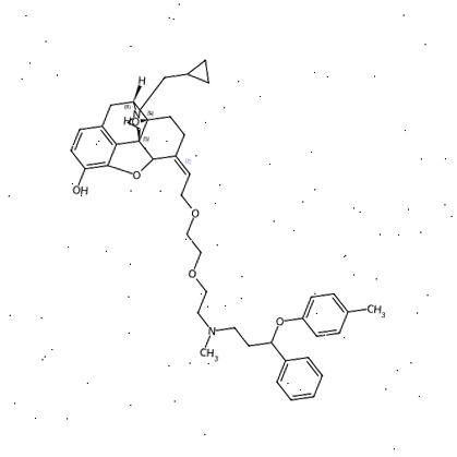 Cc1ccc(OC(CCN(C)CCOCCOC/C=C2/CC[C@@]3(O)[C@H]4Cc5ccc(O)c6c5[C@@]3(CCN4CC3CC3)C2O6)c2ccccc2)cc1